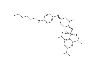 CCCCCCOc1ccc(N=C2C=CC(=NS(=O)(=O)c3c(C(C)C)cc(C(C)C)cc3C(C)C)C(C)=C2)cc1